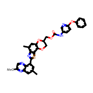 COc1cnc2c(-c3nc4c(C)cc5c(c4s3)OCC(COC(=O)Nc3ccc(Oc4ccccc4)nc3)O5)cc(C)cc2n1